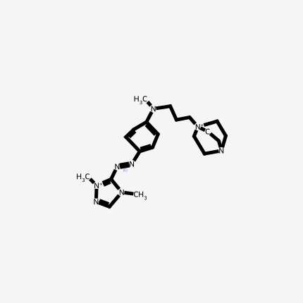 CN(CCC[N+]12CCN(CC1)CC2)c1ccc(/N=N/c2n(C)cn[n+]2C)cc1